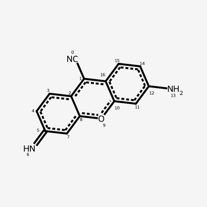 N#Cc1c2ccc(=N)cc-2oc2cc(N)ccc12